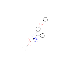 CCOC(=O)c1cnn2c(-c3ccccc3)c(-c3ccc(OCc4ccccc4)cc3)cnc12